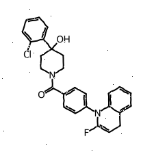 O=C(c1ccc(N2C(F)=CCc3ccccc32)cc1)N1CCC(O)(c2ccccc2Cl)CC1